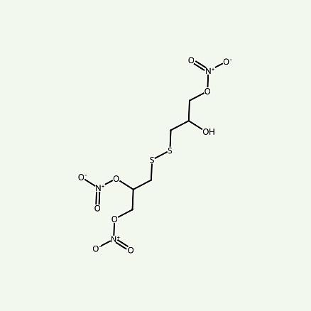 O=[N+]([O-])OCC(O)CSSCC(CO[N+](=O)[O-])O[N+](=O)[O-]